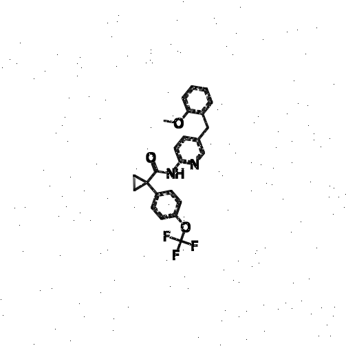 COc1ccccc1Cc1ccc(NC(=O)C2(c3ccc(OC(F)(F)F)cc3)CC2)nc1